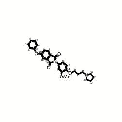 COc1cc(N2C(=O)c3ccc(Oc4ccccc4)cc3C2=O)ccc1OCCCN1CCCC1